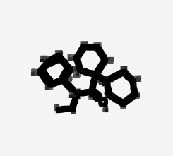 CCN(C(=O)C1(N2CCCCC2)CCCCC1)c1ccccc1